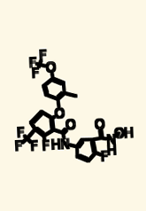 Cc1cc(OC(F)(F)F)ccc1Oc1ccc(C(F)(F)F)c(F)c1C(=O)Nc1ccc(F)c(C(=O)NO)c1